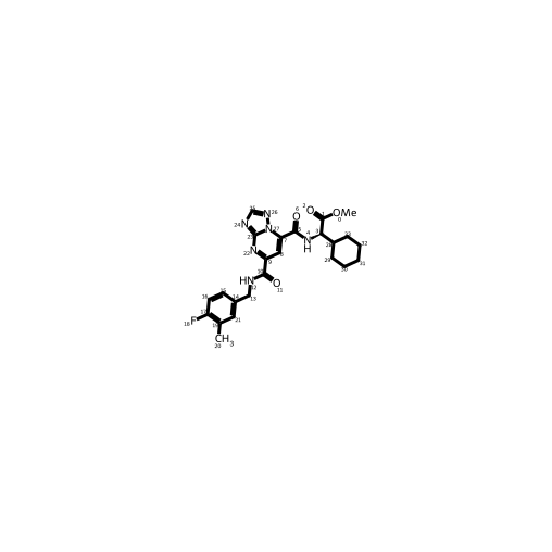 COC(=O)[C@H](NC(=O)c1cc(C(=O)NCc2ccc(F)c(C)c2)nc2ncnn12)C1CCCCC1